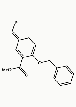 COC(=O)C1=CC(=CC(C)C)CC=C1OCc1ccccc1